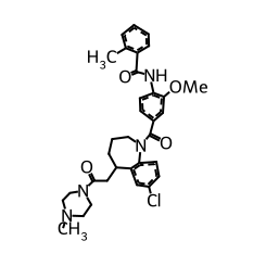 COc1cc(C(=O)N2CCCC(CC(=O)N3CCN(C)CC3)c3cc(Cl)ccc32)ccc1NC(=O)c1ccccc1C